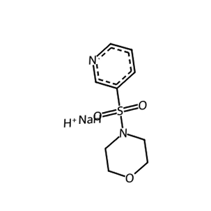 O=S(=O)(c1cccnc1)N1CCOCC1.[H+].[NaH]